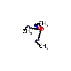 CCCCC/C=C\C/C=C\CCCCCCCCC1(CCCCCCCC/C=C\C/C=C\CCCCC)OCC(CCC(C)Cc2cccnc2)O1